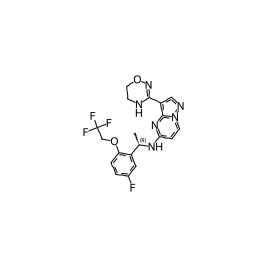 C[C@@H](Nc1ccn2ncc(C3=NOCCN3)c2n1)c1cc(F)ccc1OCC(F)(F)F